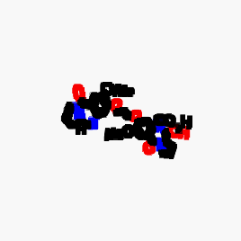 COc1cc2c(cc1OCCCOc1cc3c(cc1OC)C(=O)N1CCCC1C(O)N3C(=O)O)N=C[C@@H]1CCCN1C2=O